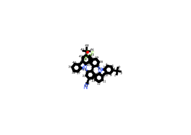 CC(C)(C)c1ccc2c(c1)c1ccccc1n2-c1ccc(C(F)(F)F)cc1-c1ccc(C#N)cc1-n1c2ccccc2c2cc(C(C)(C)C)ccc21